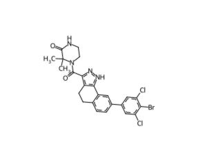 CC1(C)C(=O)NCCN1C(=O)c1n[nH]c2c1CCc1ccc(-c3cc(Cl)c(Br)c(Cl)c3)cc1-2